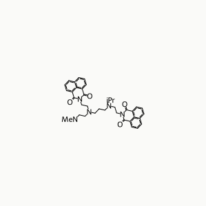 CNCCN(CCCN(CCN1C(=O)c2cccc3cccc(c23)C1=O)C(C)C)CCN1C(=O)c2cccc3cccc(c23)C1=O